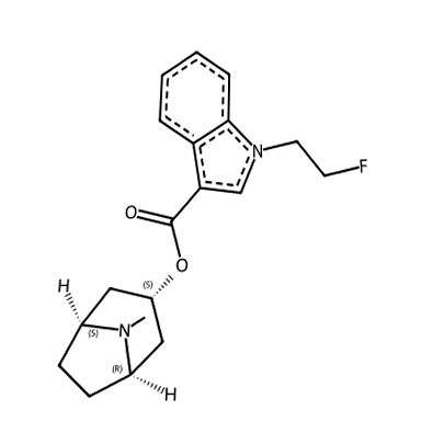 CN1[C@@H]2CC[C@H]1C[C@H](OC(=O)c1cn(CCF)c3ccccc13)C2